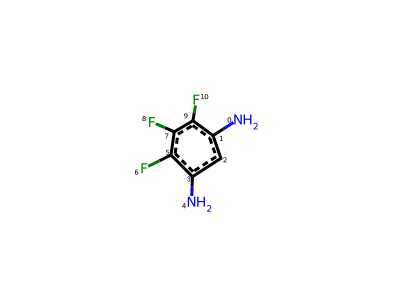 Nc1cc(N)c(F)c(F)c1F